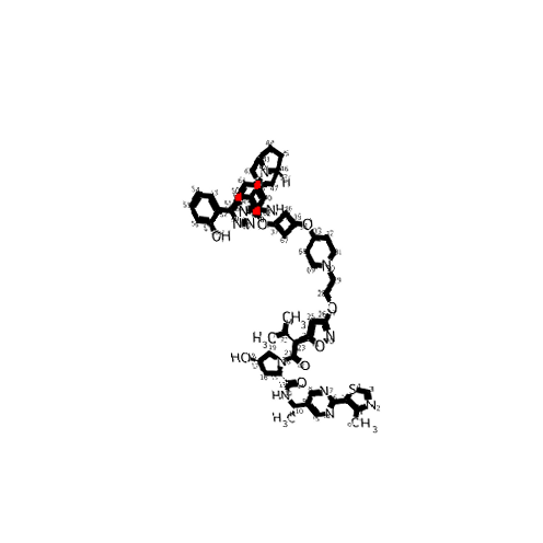 Cc1ncsc1-c1ncc([C@H](C)NC(=O)[C@@H]2C[C@@H](O)CN2C(=O)[C@H](c2cc(OCCN3CCC(OC4CC(Oc5cc(N6C7CC[C@@H]6CN(c6cc(-c8ccccc8O)nnc6N)C7)ccn5)C4)CC3)no2)C(C)C)cn1